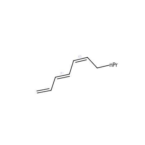 C=C/C=C/C=C\CCCC